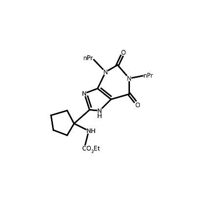 CCCn1c(=O)c2[nH]c(C3(NC(=O)OCC)CCCC3)nc2n(CCC)c1=O